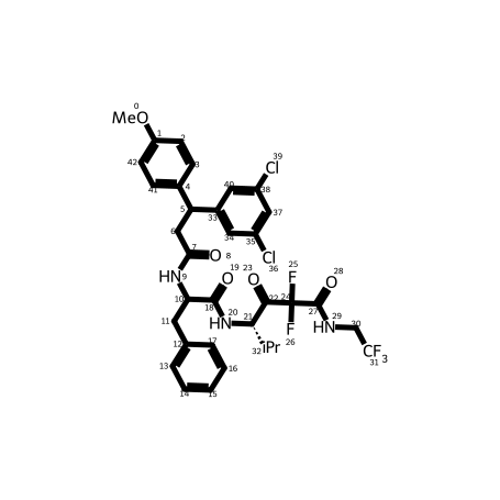 COc1ccc(C(CC(=O)NC(Cc2ccccc2)C(=O)N[C@H](C(=O)C(F)(F)C(=O)NCC(F)(F)F)C(C)C)c2cc(Cl)cc(Cl)c2)cc1